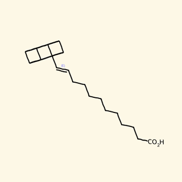 O=C(O)CCCCCCCCC/C=C/C12C3C4C5C3C1C5C42